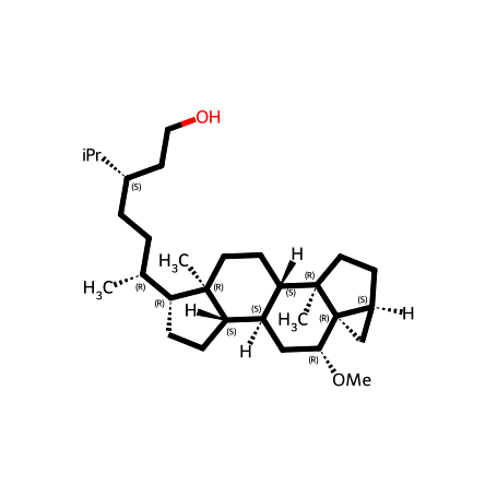 CO[C@@H]1C[C@H]2[C@@H]3CC[C@H]([C@H](C)CC[C@@H](CCO)C(C)C)[C@@]3(C)CC[C@@H]2[C@@]2(C)CC[C@H]3C[C@]312